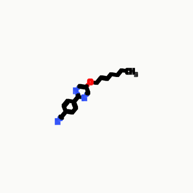 CCCCC=CCOc1cnc(-c2ccc(C#N)cc2)nc1